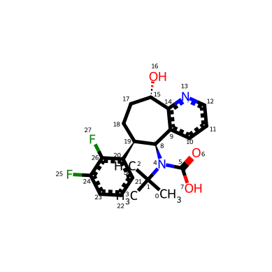 CC(C)(C)N(C(=O)O)[C@@H]1c2cccnc2[C@@H](O)CC[C@@H]1c1cccc(F)c1F